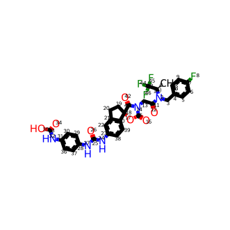 C[C@H](N(Cc1ccc(F)cc1)C(=O)CN1C(=O)OC2(CCc3cc(NC(=O)Nc4ccc(NC(=O)O)cc4)ccc32)C1=O)C(F)(F)F